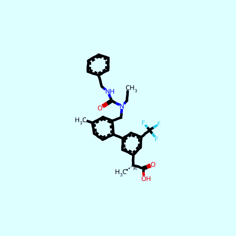 CCN(Cc1cc(C)ccc1-c1cc([C@@H](C)C(=O)O)cc(C(F)(F)F)c1)C(=O)NCc1ccccc1